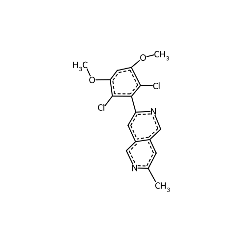 COc1cc(OC)c(Cl)c(-c2cc3cnc(C)cc3cn2)c1Cl